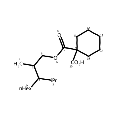 CCCCCCC(C(C)C)C(C)COC(=O)C1(C(=O)O)CCCCC1